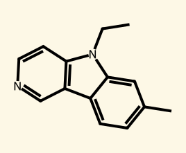 CCn1c2ccncc2c2ccc(C)cc21